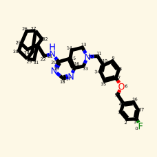 Fc1ccc(COc2ccc(CN3CCc4c(ncnc4NCC45CC6CC(CC(C6)C4)C5)C3)cc2)cc1